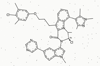 Cc1cc(OCCCc2c3n(c4c(-c5c(C)nn(C)c5C)cccc24)C(C)[C@@H](Cl)N(c2cn(C)c4ccc(-c5cncnc5)cc24)C3=O)cc(C)c1Cl